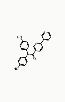 O=C(c1ccc(-c2ccccc2)cc1)N(c1ccc(O)cc1)c1ccc(O)cc1